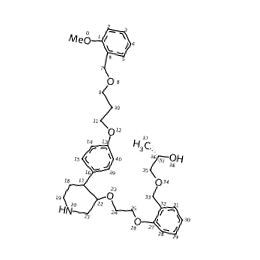 COc1ccccc1COCCCOc1ccc(C2CCNCC2OCCOc2ccccc2COC[C@H](C)O)cc1